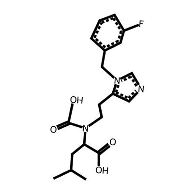 CC(C)CC(C(=O)O)N(CCc1cncn1Cc1cccc(F)c1)C(=O)O